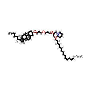 CCCCC/C=C\C/C=C\CCCCCCCCCCOCC(CN1CCCCC1)OCCCOCCCO[C@H]1CC[C@@]2(C)C(=CC[C@H]3[C@@H]4CC[C@H]([C@H](C)CCCC(C)C)[C@@]4(C)CC[C@@H]32)C1